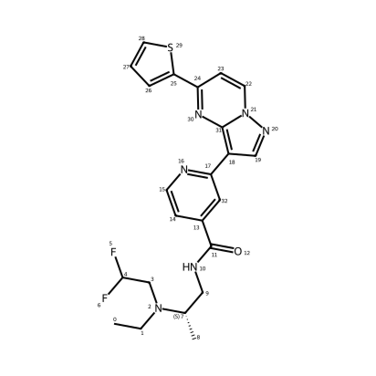 CCN(CC(F)F)[C@@H](C)CNC(=O)c1ccnc(-c2cnn3ccc(-c4cccs4)nc23)c1